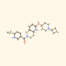 Cc1ccc(C(=O)N2CCc3nc(OC4CCN(C5CCC5)CC4)ccc3C2)cn1